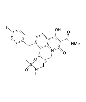 CNC(=O)c1c(O)c2ncc(Cc3ccc(F)cc3)c3c2n(c1=O)C[C@@H](CN(C)S(C)(=O)=O)O3